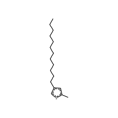 CCCCCCCCCCCCc1csc(C)c1